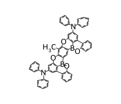 Cc1c2c(cc3c1Oc1cc(N(c4ccccc4)c4ccccc4)cc4c1B3Oc1ccccc1-4)B1Oc3ccccc3-c3cc(N(c4ccccc4)c4ccccc4)cc(c31)O2